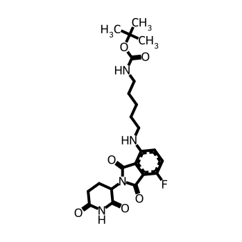 CC(C)(C)OC(=O)NCCCCCNc1ccc(F)c2c1C(=O)N(C1CCC(=O)NC1=O)C2=O